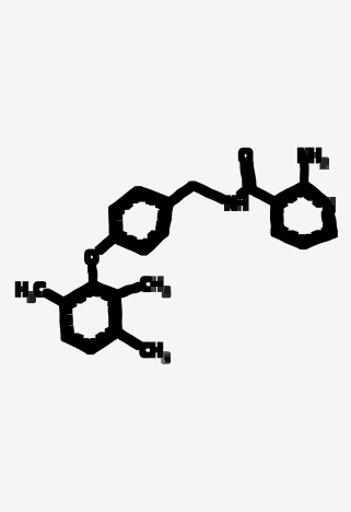 Cc1ccc(C)c(Oc2ccc(CNC(=O)c3cccnc3N)cc2)c1C